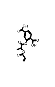 C=CC(=O)OC(C)C(=O)Oc1cc(C(=O)O)ccc1C(=O)O